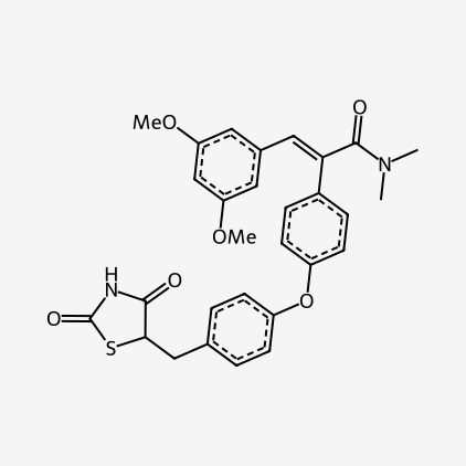 COc1cc(C=C(C(=O)N(C)C)c2ccc(Oc3ccc(CC4SC(=O)NC4=O)cc3)cc2)cc(OC)c1